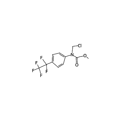 COC(=O)N(CCl)c1ccc(C(F)(F)C(F)(F)F)cc1